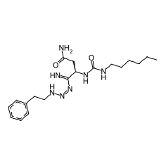 CCCCCCNC(=O)N[C@H](CC(N)=O)C(=N)/N=N\NCCc1ccccc1